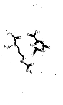 NC(=O)NCCC[C@H](N)C(=O)O.O=C(O)c1cc(=O)[nH]c(=O)[nH]1